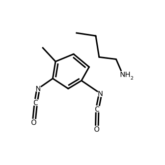 CCCCN.Cc1ccc(N=C=O)cc1N=C=O